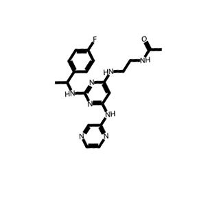 CC(=O)NCCNc1cc(Nc2cnccn2)nc(NC(C)c2ccc(F)cc2)n1